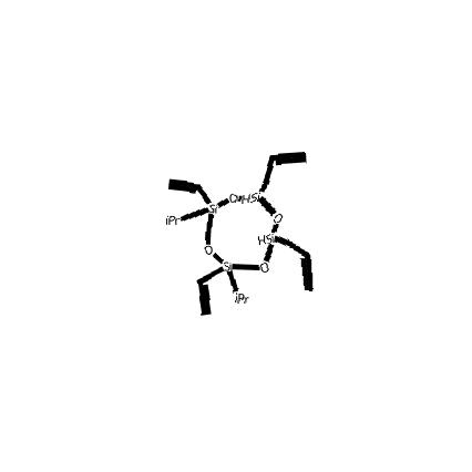 C=C[SiH]1O[SiH](C=C)O[Si](C=C)(C(C)C)O[Si](C=C)(C(C)C)O1